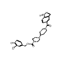 O=C(OCc1ccc(Cl)c(Cl)c1)N1CCN(C2CCN(C(=O)c3ccc4[nH]ncc4c3)CC2)CC1